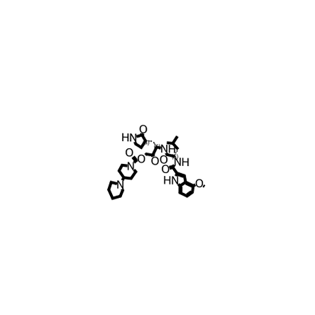 COc1cccc2[nH]c(C(=O)N[C@@H](CC(C)C)C(=O)N[C@@H](C[C@@H]3CCNC3=O)C(=O)COC(=O)N3CCC(N4CCCCC4)CC3)cc12